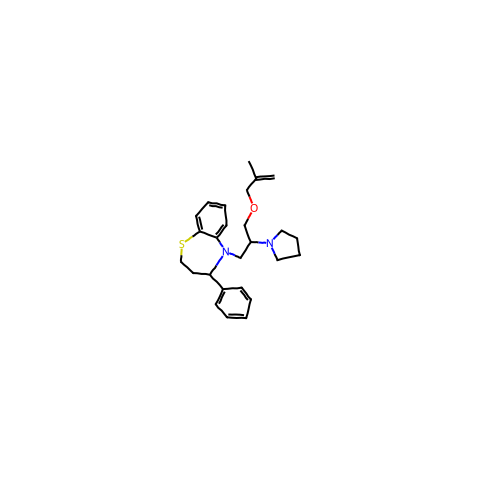 C=C(C)COCC(CN1c2ccccc2SCCC1c1ccccc1)N1CCCC1